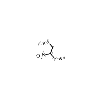 CCCCCCCC(CCCCCC)[N+](=O)[O-]